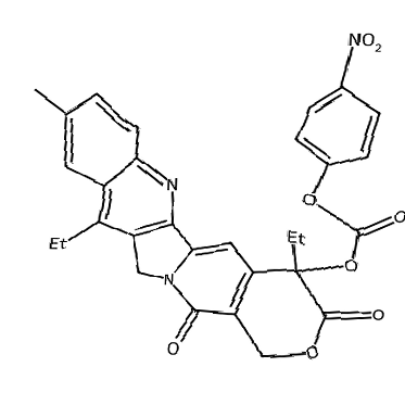 CCc1c2c(nc3ccc(C)cc13)-c1cc3c(c(=O)n1C2)COC(=O)C3(CC)OC(=O)Oc1ccc([N+](=O)[O-])cc1